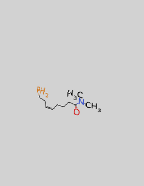 CN(C)C(=O)CCC/C=C\CCP